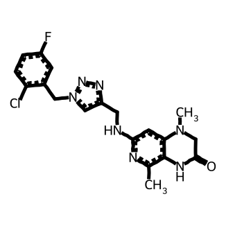 Cc1nc(NCc2cn(Cc3cc(F)ccc3Cl)nn2)cc2c1NC(=O)CN2C